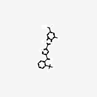 C[C@H](O)c1cc(F)c2nc(-c3cc(C(=O)c4ccccc4C(F)(F)F)c[nH]3)[nH]c2c1